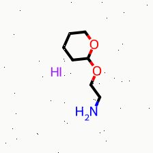 I.NCCOC1CCCCO1